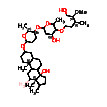 BC1CC2C(CCC3CC(OC4CC[C@@H](OC5C[C@H](O)C(OCC[C@H](C)[C@@H](CO)OC)C(C)O5)[C@@H](C)O4)CC[C@@]32C)C2(O)CCC(C)[C@@]12C